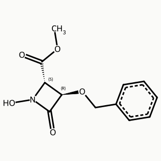 COC(=O)[C@@H]1[C@@H](OCc2ccccc2)C(=O)N1O